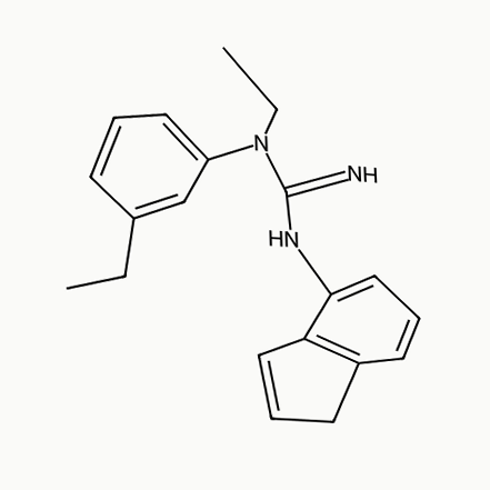 CCc1cccc(N(CC)C(=N)Nc2cccc3c2C=CC3)c1